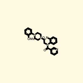 COc1ccccc1N1CCN(CCN(C(=O)c2cccnc2)c2ccccc2[N+](=O)[O-])CC1